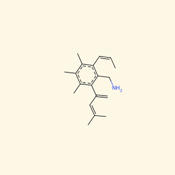 C=C(C=C(C)C)c1c(C)c(C)c(C)c(/C=C\C)c1CN